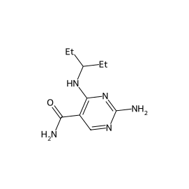 CCC(CC)Nc1nc(N)ncc1C(N)=O